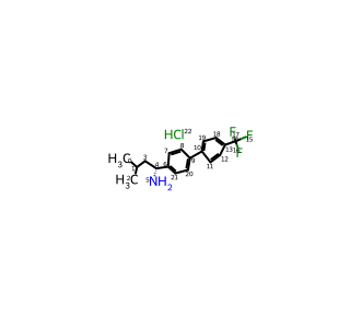 CC(C)C[C@@H](N)c1ccc(-c2ccc(C(F)(F)F)cc2)cc1.Cl